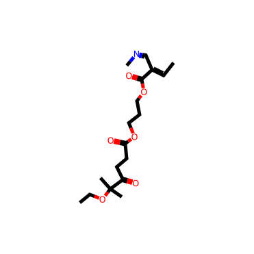 C/C=C(\C=N/C)C(=O)OCCCOC(=O)CCC(=O)C(C)(C)OCC